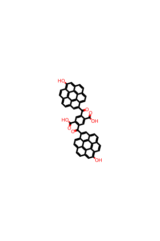 O=C(O)c1cc(C(=O)c2cc3ccc4ccc5c(O)cc6ccc7ccc2c2c7c6c5c4c32)c(C(=O)O)cc1C(=O)c1cc2ccc3ccc4c(O)cc5ccc6ccc1c1c6c5c4c3c21